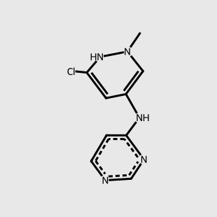 CN1C=C(Nc2ccncn2)C=C(Cl)N1